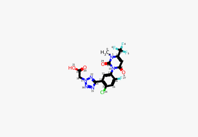 Cn1c(C(F)(F)F)cc(=O)n(-c2cc(-c3nnn(CC(=O)O)n3)c(Cl)cc2F)c1=O